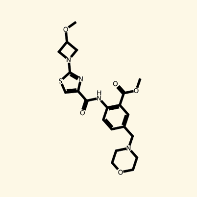 COC(=O)c1cc(CN2CCOCC2)ccc1NC(=O)c1csc(N2CC(OC)C2)n1